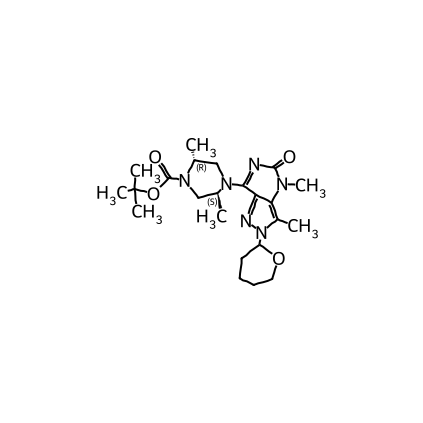 Cc1c2c(nn1C1CCCCO1)c(N1C[C@@H](C)N(C(=O)OC(C)(C)C)C[C@@H]1C)nc(=O)n2C